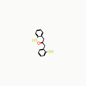 O=C(Cc1ccccc1S)Cc1ccccc1S